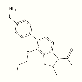 CCCOc1c(-c2ccc(CN)cc2)ccc2c1CC(C)N2C(C)=O